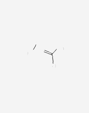 CC(=O)O.[CH3][K]